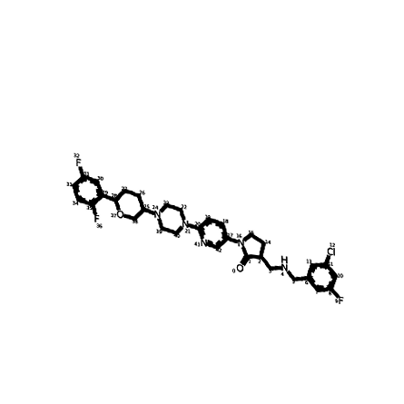 O=C1C(CNCc2cc(F)cc(Cl)c2)CCN1c1ccc(N2CCN(C3CCC(c4cc(F)ccc4F)OC3)CC2)nc1